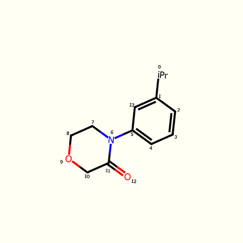 CC(C)c1cccc(N2CCOCC2=O)c1